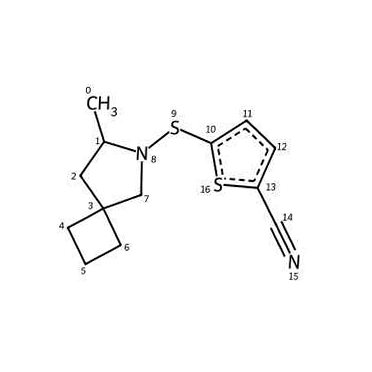 CC1CC2(CCC2)CN1Sc1ccc(C#N)s1